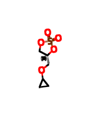 O=S1(=O)OC[C@@H](COC2CC2)O1